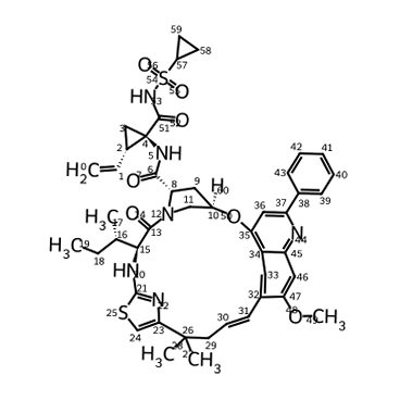 C=C[C@@H]1C[C@]1(NC(=O)[C@@H]1C[C@@H]2CN1C(=O)[C@H]([C@@H](C)CC)Nc1nc(cs1)C(C)(C)C/C=C/c1cc3c(cc(-c4ccccc4)nc3cc1OC)O2)C(=O)NS(=O)(=O)C1CC1